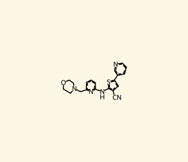 N#Cc1cc(-c2cccnc2)sc1Nc1cccc(CN2CCOCC2)n1